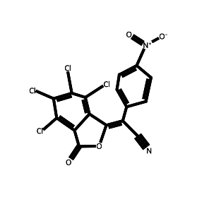 N#C/C(=C1\OC(=O)c2c(Cl)c(Cl)c(Cl)c(Cl)c21)c1ccc([N+](=O)[O-])cc1